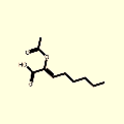 CCCCCC=C(OC(C)=O)C(=O)O